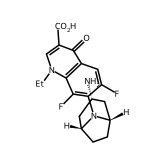 CCn1cc(C(=O)O)c(=O)c2cc(F)c(N3[C@@H]4CC[C@H]3C[C@@H](N)C4)c(F)c21